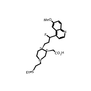 CCSCCN1CC[C@@H](CCC(F)c2ccnc3ccc(OC)cc23)[C@@H](CC(=O)O)C1